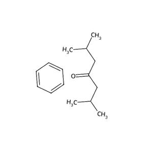 CC(C)CC(=O)CC(C)C.c1ccccc1